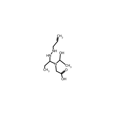 C=CCNNC(CC)N(CC(=O)O)C(C)O